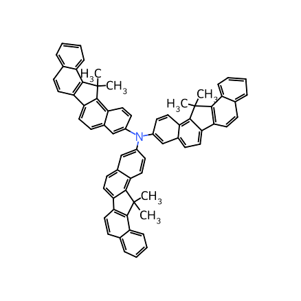 CC1(C)c2c(ccc3ccccc23)-c2ccc3cc(N(c4ccc5c6c(ccc5c4)-c4ccc5ccccc5c4C6(C)C)c4ccc5c6c(ccc5c4)-c4ccc5ccccc5c4C6(C)C)ccc3c21